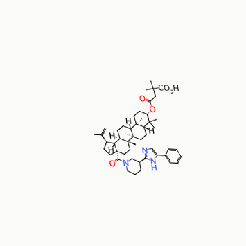 C=C(C)[C@@H]1CC[C@]2(C(=O)N3CCC[C@H](c4ncc(-c5ccccc5)[nH]4)C3)CC[C@]3(C)[C@H](CC[C@@H]4[C@@]5(C)CC[C@H](OC(=O)CC(C)(C)C(=O)O)C(C)(C)[C@@H]5CC[C@]43C)[C@@H]12